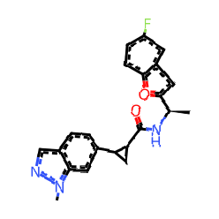 C[C@@H](NC(=O)C1CC1c1ccc2cnn(C)c2c1)c1cc2cc(F)ccc2o1